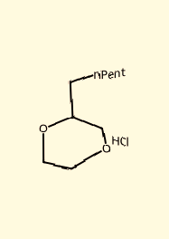 CCCCCCC1COCCO1.Cl